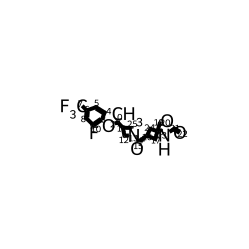 CC(Oc1ccc(C(F)(F)F)cc1F)C1CN(C(=O)C2CC3(COC(=O)N3)C2)C1